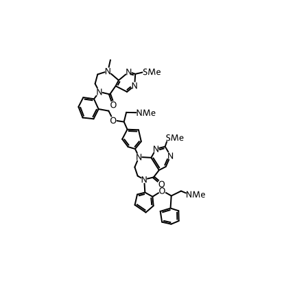 CNCC(OCc1ccccc1N1CCN(C)c2nc(SC)ncc2C1=O)c1ccc(N2CCN(c3ccccc3OC(CNC)c3ccccc3)C(=O)c3cnc(SC)nc32)cc1